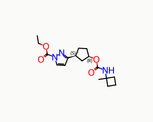 CCOC(=O)n1ccc([C@H]2CC[C@@H](OC(=O)NC3(C)CCC3)C2)n1